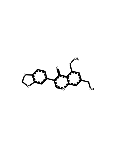 COc1cc(CO)cc2occ(-c3ccc4c(c3)OCO4)c(=O)c12